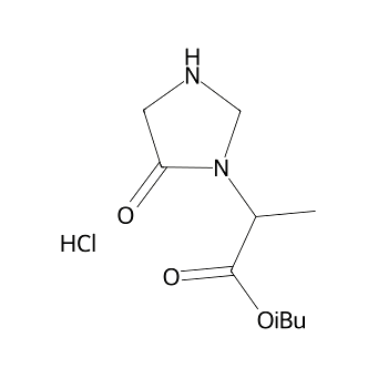 CC(C)COC(=O)C(C)N1CNCC1=O.Cl